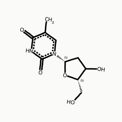 Cc1cn([C@@H]2CC(O)[C@H](CO)O2)c(=O)[nH]c1=O